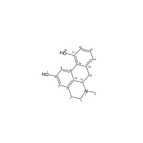 CN1CCc2cc(O)cc3c2C1Cc1cccc(O)c1-3